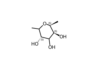 CC1O[C@@H](C)[C@@H](O)C(O)[C@@H]1O